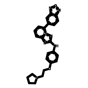 c1cc(-c2ccc3nonc3c2)n2nc(Nc3ccc(OCCN4CCCC4)cc3)nc2c1